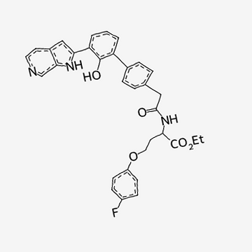 CCOC(=O)C(CCOc1ccc(F)cc1)NC(=O)Cc1ccc(-c2cccc(-c3cc4ccncc4[nH]3)c2O)cc1